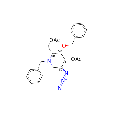 CC(=O)OC[C@@H]1[C@H](OCc2ccccc2)[C@H](OC(C)=O)[C@@H](N=[N+]=[N-])CN1Cc1ccccc1